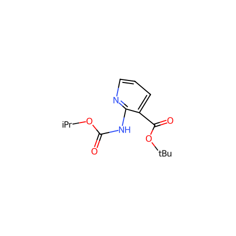 CC(C)OC(=O)Nc1ncccc1C(=O)OC(C)(C)C